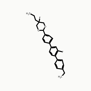 CCCC1(F)COC(c2ccc(-c3ccc(-c4ccc(CC)cc4)c(F)c3)cc2)OC1